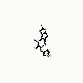 Cc1nc2c3n(C)c(=O)n(Cc4cc[nH]n4)nc-3cc2s1